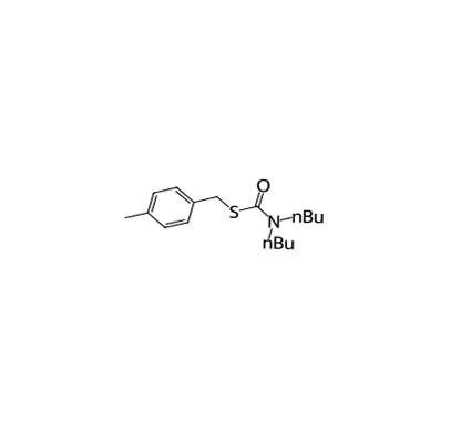 CCCCN(CCCC)C(=O)SCc1ccc(C)cc1